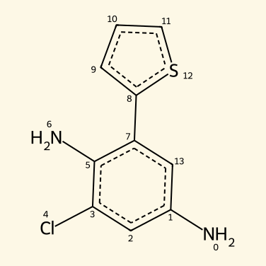 Nc1cc(Cl)c(N)c(-c2cccs2)c1